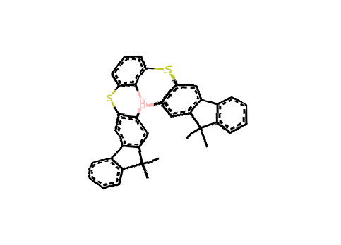 CC1(C)c2ccccc2-c2cc3c(cc21)B1c2cc4c(cc2Sc2cccc(c21)S3)-c1ccccc1C4(C)C